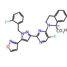 O=C(O)[C@@H]1c2ccccc2CCN1c1nc(-c2cc(-c3ccon3)n(Cc3ccccc3F)n2)ncc1F